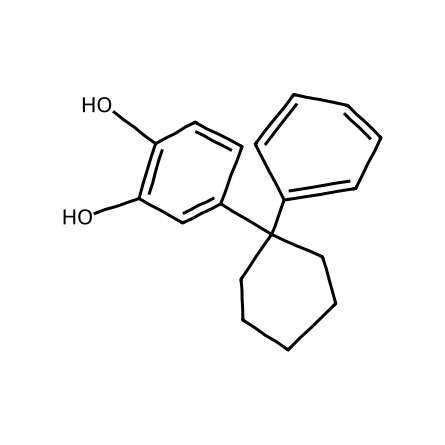 Oc1ccc(C2(c3ccccc3)CCCCC2)cc1O